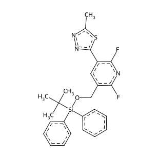 Cc1nnc(-c2cc(CO[Si](c3ccccc3)(c3ccccc3)C(C)(C)C)c(F)nc2F)s1